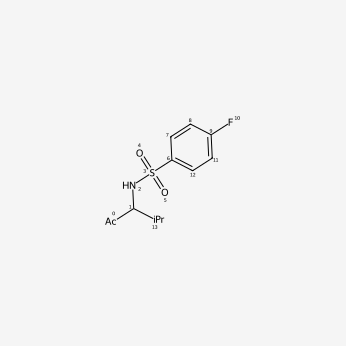 CC(=O)C(NS(=O)(=O)c1ccc(F)cc1)C(C)C